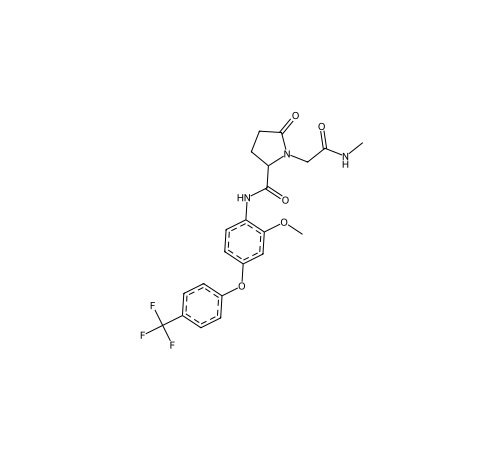 CNC(=O)CN1C(=O)CCC1C(=O)Nc1ccc(Oc2ccc(C(F)(F)F)cc2)cc1OC